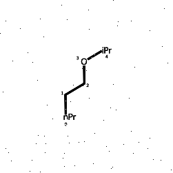 CCCCCOC(C)C